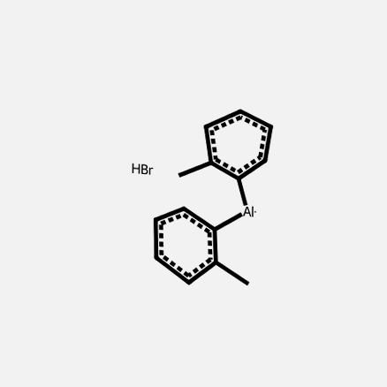 Br.Cc1cccc[c]1[Al][c]1ccccc1C